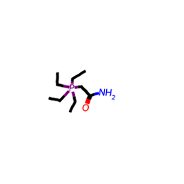 CCP(CC)(CC)(CC)CC(N)=O